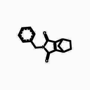 O=C1C2=C(C(=O)N1Cc1ccccc1)C1CCC2C1